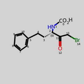 O=C(O)N[C@@H](CCc1ccccc1)C(=O)CBr